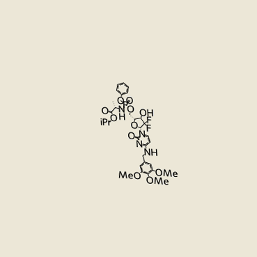 COc1cc(CNc2ccn([C@@H]3O[C@H](CO[P@@](=O)(N[C@@H](C)C(=O)OC(C)C)Oc4ccccc4)[C@@H](O)C3(F)F)c(=O)n2)cc(OC)c1OC